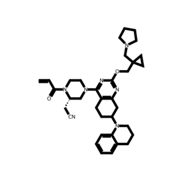 C=CC(=O)N1CCN(c2nc(OCC3(CN4CCCC4)CC3)nc3c2CCC(N2CCCc4ccccc42)C3)C[C@@H]1CC#N